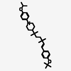 CC(C)Oc1ccc(N2CCC(C(C)(C)CCC(C)(C)/C=C/c3ccc(OC(C)(C)C)cc3)CC2)cc1